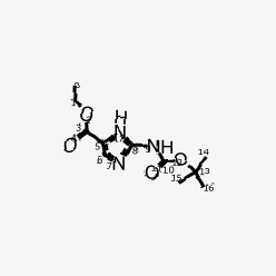 CCOC(=O)c1cnc(NC(=O)OC(C)(C)C)[nH]1